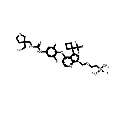 C[Si](C)(C)CCOCn1cc(C2(C(F)(F)F)CCC2)c2c(Oc3c(F)cc(NC(=S)NCC4(CO)CCOC4)cc3F)ccnc21